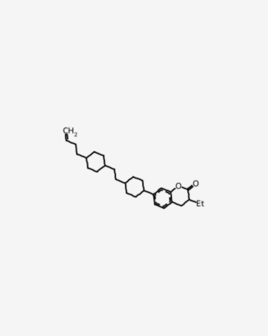 C=CCCC1CCC(CCC2CCC(c3ccc4c(c3)OC(=O)C(CC)C4)CC2)CC1